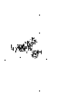 CC(C)(C)OC(=O)N1CCc2nc(-c3cccnc3)nc(NCCc3c[nH]c4ccccc34)c2C1